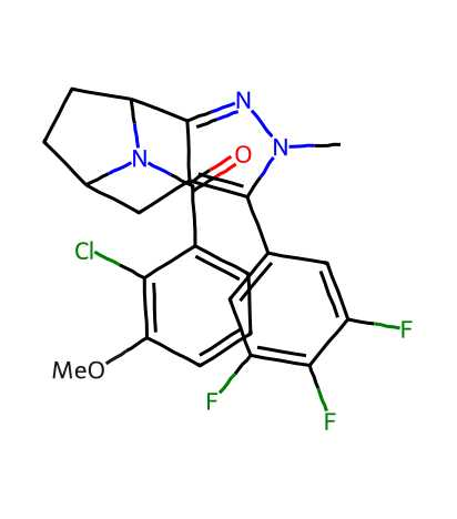 COc1cccc(C(=O)N2C3CCC2c2nn(C)c(-c4cc(F)c(F)c(F)c4)c2C3)c1Cl